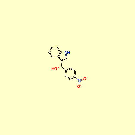 O=[N+]([O-])c1ccc(C(O)c2c[nH]c3ccccc23)cc1